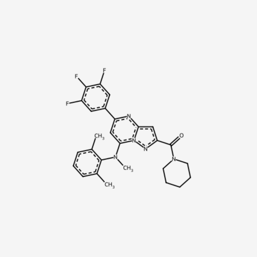 Cc1cccc(C)c1N(C)c1cc(-c2cc(F)c(F)c(F)c2)nc2cc(C(=O)N3CCCCC3)nn12